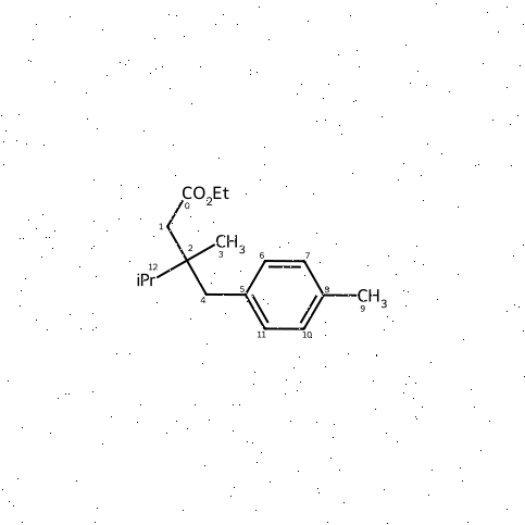 CCOC(=O)CC(C)(Cc1ccc(C)cc1)C(C)C